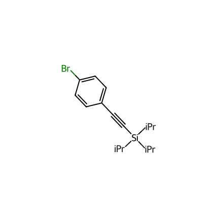 CC(C)[Si](C#Cc1ccc(Br)cc1)(C(C)C)C(C)C